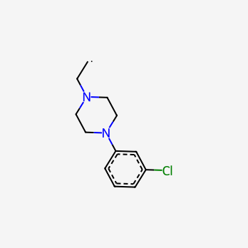 [CH2]CN1CCN(c2cccc(Cl)c2)CC1